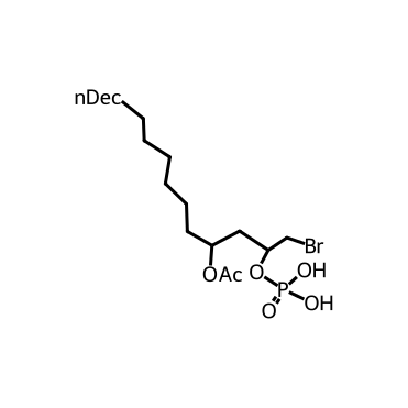 CCCCCCCCCCCCCCCCC(CC(CBr)OP(=O)(O)O)OC(C)=O